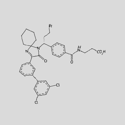 CC(C)CC[C@H](c1ccc(C(=O)NCCC(=O)O)cc1)N1C(=O)C(c2cccc(-c3cc(Cl)cc(Cl)c3)c2)=NC12CCCCC2